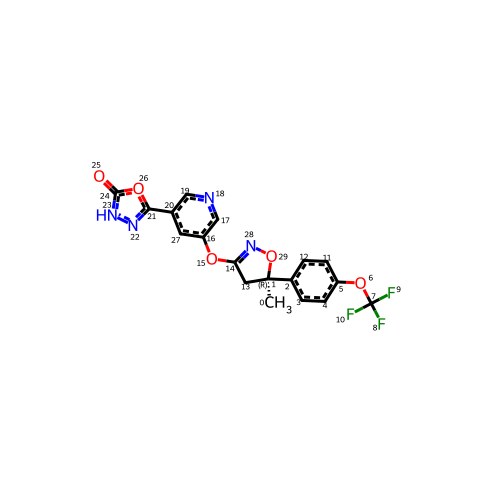 C[C@]1(c2ccc(OC(F)(F)F)cc2)CC(Oc2cncc(-c3n[nH]c(=O)o3)c2)=NO1